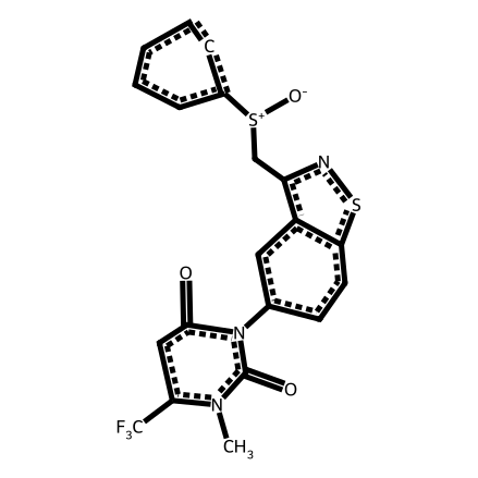 Cn1c(C(F)(F)F)cc(=O)n(-c2ccc3snc(C[S+]([O-])c4ccccc4)c3c2)c1=O